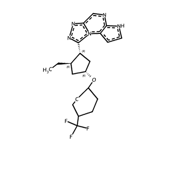 CC[C@@H]1C[C@@H](OC2CCC(C(F)(F)F)CC2)C[C@H]1c1nnc2cnc3[nH]ccc3n12